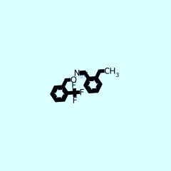 CCc1ccccc1/[C]=N\OCc1ccccc1C(F)(F)F